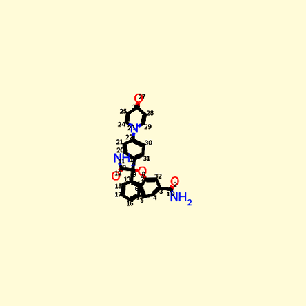 NC(=O)c1cccc(OC(C(N)=O)(c2ccccc2)c2ccc(-n3ccc(=O)cc3)cc2)c1